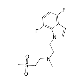 CN(CCn1ccc2c(F)ccc(F)c21)CCS(C)(=O)=O